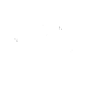 O=C(Cc1ccnc2ccccc12)c1cc(Cl)ccn1